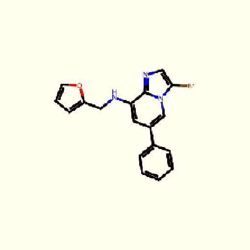 Brc1cnc2c(NCc3ccco3)cc(-c3ccccc3)cn12